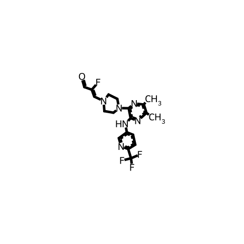 Cc1nc(Nc2ccc(C(F)(F)F)nc2)c(N2CCN(C=C(F)C=O)CC2)nc1C